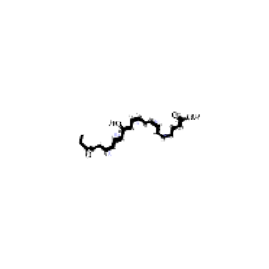 CCC1OC1C/C=C\C=C\C(O)C/C=C\C/C=C\C/C=C\CCC(=O)O